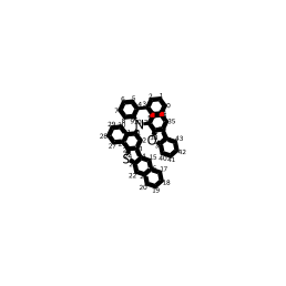 c1ccc(-c2ccccc2N(c2cc3c4cc5ccccc5cc4sc3c3ccccc23)c2cccc3c2oc2ccccc23)cc1